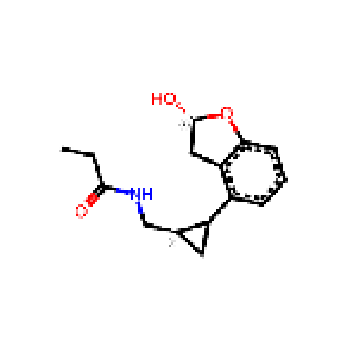 CCC(=O)NC[C@@H]1CC1c1cccc2c1C[C@H](O)O2